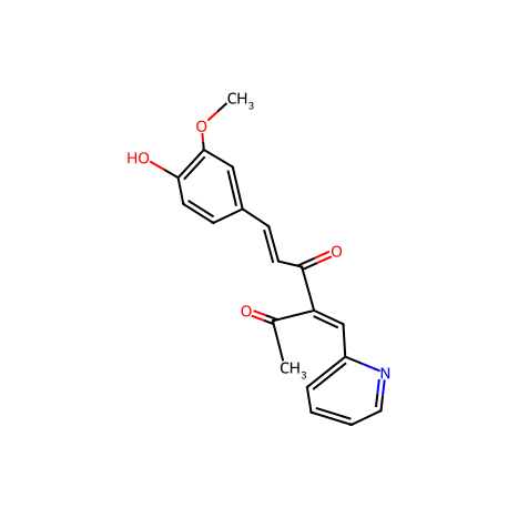 COc1cc(/C=C/C(=O)C(=Cc2ccccn2)C(C)=O)ccc1O